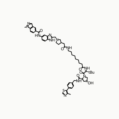 Cc1ncsc1-c1ccc(CNC(=O)[C@@H]2C[C@@H](O)CN2C(=O)[C@@H](NC(=O)CCCCCCCCNC(=O)CC2CCN(Cc3nc4cc(NC(=O)c5ccc6c(cnn6C)c5)ccc4[nH]3)C2)C(C)(C)C)cc1